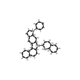 c1ccc(-n2ccc3cc4c5c6ccccc6ccc5n(-c5ccc6ccccc6n5)c4cc32)cc1